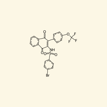 O=C1C(NS(=O)(=O)c2ccc(Br)cc2)=C(c2ccc(OC(F)(F)F)cc2)C(=O)c2ccccc21